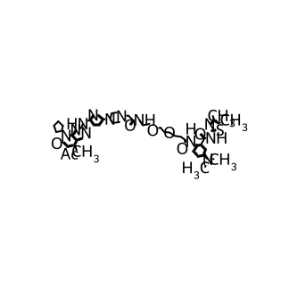 CC(=O)c1c(C)c2cnc(Nc3ccc(N4CCN(CC(=O)NCCOCCOCCC(=O)Nc5ccc(N(C)C)cc5C(=O)Nc5nc(C)c(C)s5)CC4)cn3)nc2n(C2CCCC2)c1=O